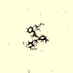 CNC(=O)C(=O)C(CC(F)(F)F)NC(=O)[C@@H]1[C@@H]2C(CN1C(=O)[C@@H](NC(=O)OC(C)(C)C)C1CCCCC1)C2(C)C